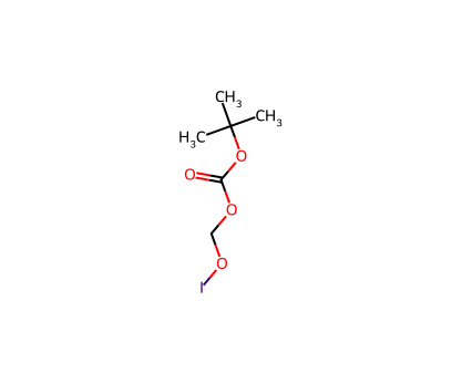 CC(C)(C)OC(=O)OCOI